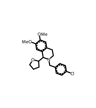 COc1cc2c(cc1OC)C(C1CCCO1)N(Cc1ccc(Cl)cc1)CC2